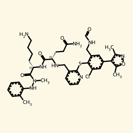 Cc1ccccc1NN(C)C(=O)[C@H](CCCCN)NC(=O)[C@H](CCC(N)=O)NCc1cccnc1Sc1c(Cl)cc(-c2c(C)noc2C)cc1CNC=O